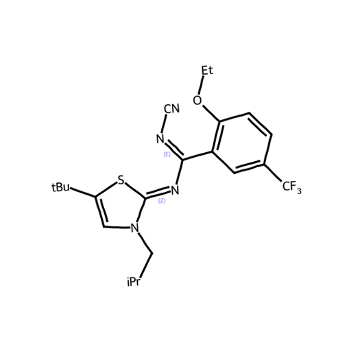 CCOc1ccc(C(F)(F)F)cc1C(/N=c1\sc(C(C)(C)C)cn1CC(C)C)=N\C#N